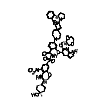 CC(C)c1ccccc1[C@@H]1CCCN1C1CC2(CCN(c3ccc(C(=O)NS(=O)(=O)c4cc5c(c([N+](=O)[O-])c4)N[C@@H]([C@H]4CC[C@](C)(O)CC4)CO5)c(Oc4cc5cc[nH]c5nc4OC[C@H]4COCCO4)c3)CC2)C1